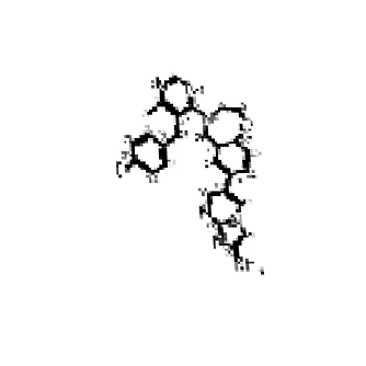 Cc1ncnc(N2CCOC3C=CC(c4cnc5nc(N)cn5c4)=CC3C2)c1Cc1ccc(F)cc1